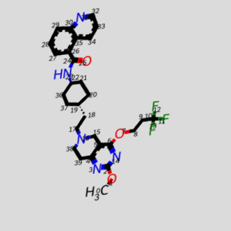 COc1nc2c(c(OCCC(F)(F)F)n1)CN(CC[C@H]1CC[C@H](NC(=O)c3cccc4ncccc34)CC1)CC2